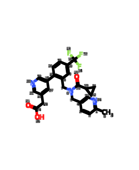 Cc1ccc(CN(Cc2cc(C(F)(F)F)ccc2-c2cncc(CC(=O)O)c2)C(=O)C2CC2)cn1